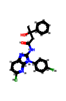 CC(O)(CC(=O)Nc1nc2ccc(Cl)nc2n1-c1ccc(F)cc1)c1ccccc1